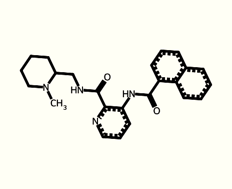 CN1CCCCC1CNC(=O)c1ncccc1NC(=O)c1cccc2ccccc12